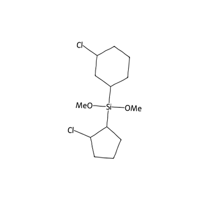 CO[Si](OC)(C1CCCC(Cl)C1)C1CCCC1Cl